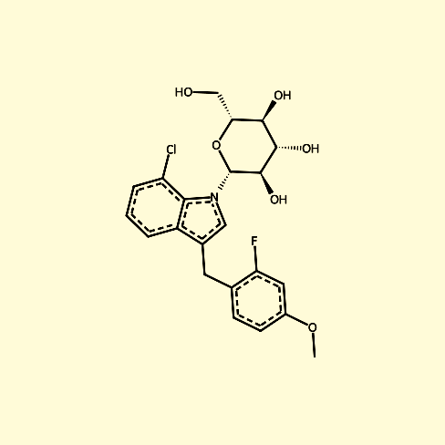 COc1ccc(Cc2cn([C@@H]3O[C@H](CO)[C@@H](O)[C@H](O)[C@H]3O)c3c(Cl)cccc23)c(F)c1